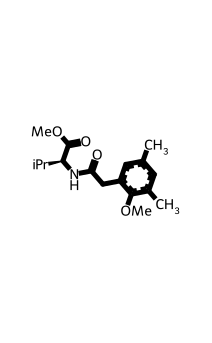 COC(=O)[C@@H](NC(=O)Cc1cc(C)cc(C)c1OC)C(C)C